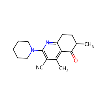 Cc1c(C#N)c(N2CCCCC2)nc2c1C(=O)C(C)CC2